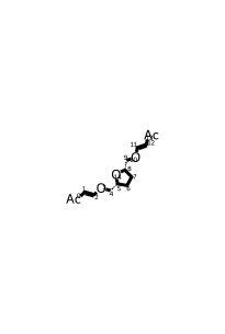 CC(=O)/C=C/OC[C@H]1CC[C@@H](CO/C=C/C(C)=O)O1